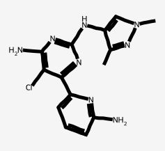 Cc1nn(C)cc1Nc1nc(N)c(Cl)c(-c2cccc(N)n2)n1